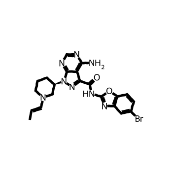 CC=CN1CCC[C@@H](n2nc(C(=O)Nc3nc4cc(Br)ccc4o3)c3c(N)ncnc32)C1